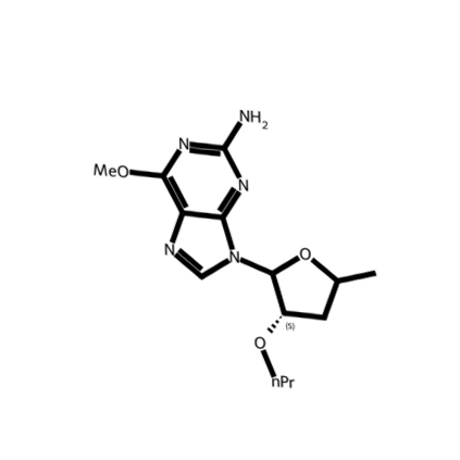 CCCO[C@H]1CC(C)OC1n1cnc2c(OC)nc(N)nc21